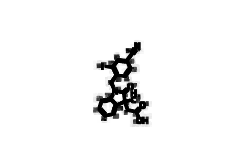 CC1(CC(=O)O)C(=O)N(Cc2ccc(C#N)cc2F)c2ccccc21